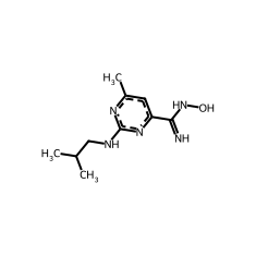 Cc1cc(C(=N)NO)nc(NCC(C)C)n1